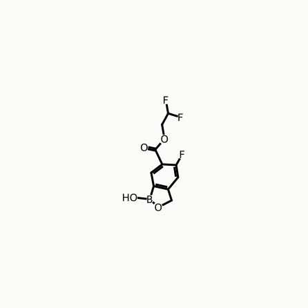 O=C(OCC(F)F)c1cc2c(cc1F)COB2O